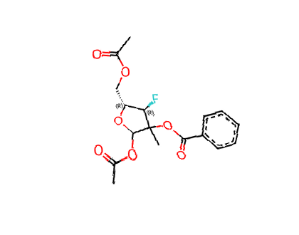 CC(=O)OC[C@H]1OC(OC(C)=O)C(C)(OC(=O)c2ccccc2)[C@@H]1F